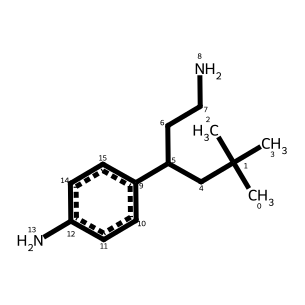 CC(C)(C)CC(CCN)c1ccc(N)cc1